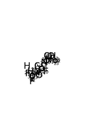 Cc1c(CN2CCN(C(=O)C3CCCC3)C(C)C2)cc(F)cc1NC(=O)c1cc(F)cc(F)c1